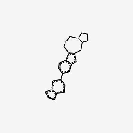 c1cc2ccc(-c3ccc4c(c3)nc3n4CCCN4CCCC4C3)cn2c1